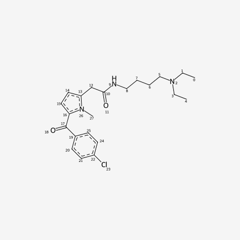 CCN(CC)CCCCNC(=O)Cc1ccc(C(=O)c2ccc(Cl)cc2)n1C